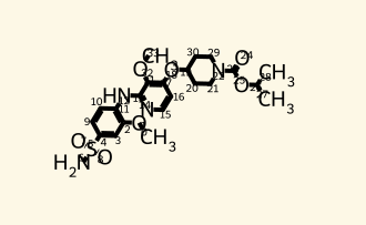 COc1cc(S(N)(=O)=O)ccc1Nc1nccc(OC2CCN(C(=O)OC(C)C)CC2)c1OC